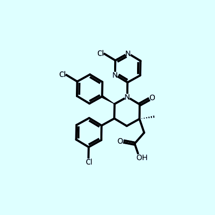 C[C@]1(CC(=O)O)CC(c2cccc(Cl)c2)[C@@H](c2ccc(Cl)cc2)N(c2ccnc(Cl)n2)C1=O